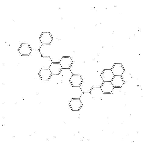 C(=N\N(c1ccccc1)c1ccccc1)/c1c2ccccc2cc2c(-c3ccc(N(/N=C/c4ccc5ccc6cccc7ccc4c5c67)c4ccccc4)cc3)cccc12